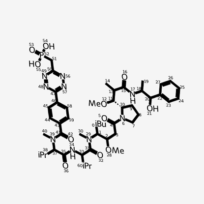 CCC(C)C(C(CC(=O)N1CCC[C@H]1C(OC)C(C)C(=O)NC(C)C(O)c1ccccc1)OC)N(C)C(=O)C(NC(=O)C(C(C)C)N(C)C(=O)c1ccc(-c2nnc(CP(=O)(O)O)nn2)cc1)C(C)C